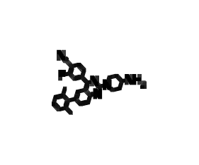 Cc1cccc(C)c1-c1ccc2nc(N3CCC(N)CC3)nc(-c3ccc(C#N)c(F)c3)c2c1